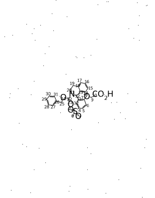 CS(=O)(=O)c1ccc(OCC(=O)O)c(C2c3ccccc3CCN2C(=O)OCc2ccccc2)c1